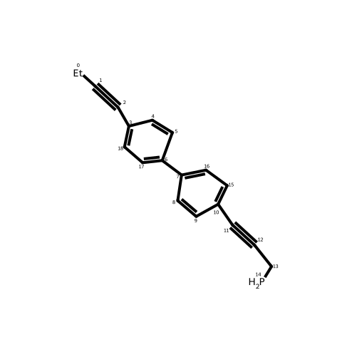 CCC#Cc1ccc(-c2ccc(C#CCP)cc2)cc1